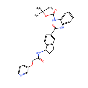 CC(C)(C)OC(=O)Nc1ccccc1NC(=O)c1ccc2c(c1)CCC2NC(=O)COc1cccnc1